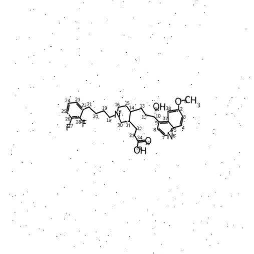 COc1ccc2nccc([C@@H](O)CCC3CCN(CCCCc4cccc(F)c4F)CC3CCC(=O)O)c2c1